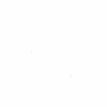 CN(C)CCCc1cc(C(F)(F)F)cc(C(F)(F)F)c1